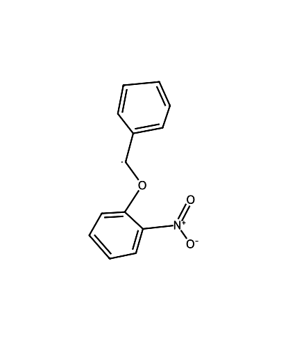 O=[N+]([O-])c1ccccc1O[CH]c1ccccc1